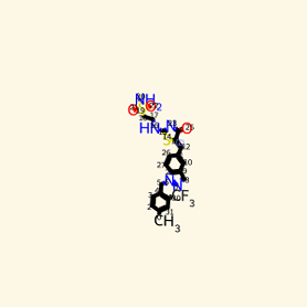 Cc1ccc(Cn2ncc3cc(/C=C4\SC(NCCS(N)(=O)=O)=NC4=O)ccc32)c(C(F)(F)F)c1